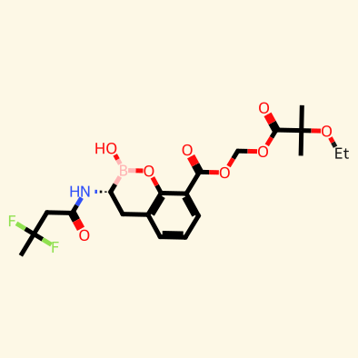 CCOC(C)(C)C(=O)OCOC(=O)c1cccc2c1OB(O)[C@@H](NC(=O)CC(C)(F)F)C2